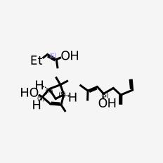 C=CC(=C)C[C@H](O)C=C(C)C.CC/C=C(\C)O.CC1=C[C@@H](O)[C@@H]2C[C@H]1C2(C)C